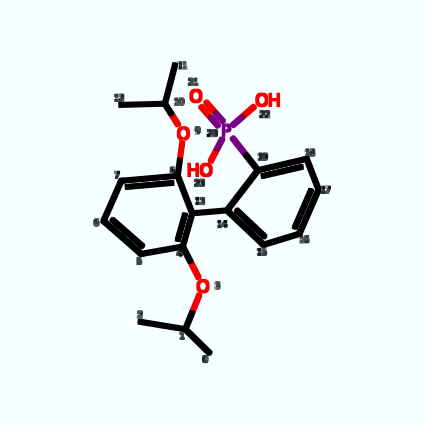 CC(C)Oc1cccc(OC(C)C)c1-c1ccccc1P(=O)(O)O